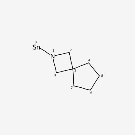 [Sn][N]1CC2(CCCC2)C1